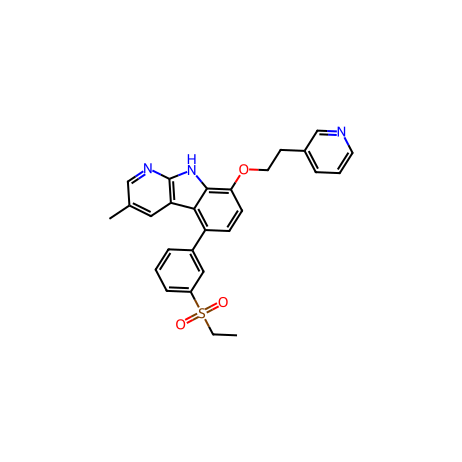 CCS(=O)(=O)c1cccc(-c2ccc(OCCc3cccnc3)c3[nH]c4ncc(C)cc4c23)c1